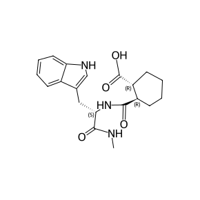 CNC(=O)[C@H](Cc1c[nH]c2ccccc12)NC(=O)[C@@H]1CCCC[C@H]1C(=O)O